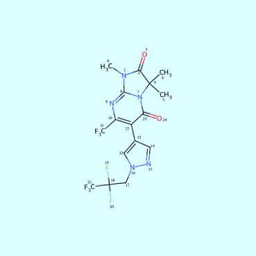 CN1C(=O)C(C)(C)n2c1nc(C(F)(F)F)c(-c1cnn(CC(F)(F)C(F)(F)F)c1)c2=O